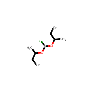 CC(C)CC(C)O[Si](Cl)OC(C)CC(C)C